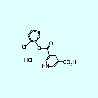 Cl.O=C(O)C1=CNC=C(C(=O)Oc2ccccc2Cl)C1